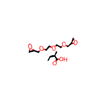 C(COCC1CO1)OCCOCC1CO1.CC=C(C)C(=O)O